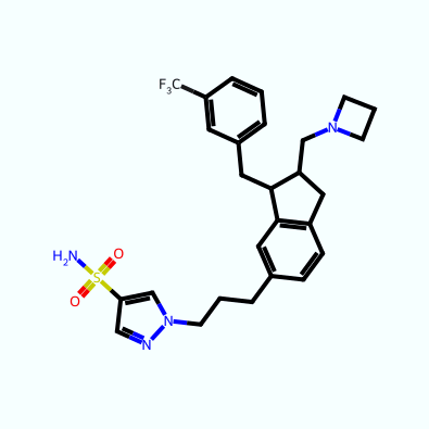 NS(=O)(=O)c1cnn(CCCc2ccc3c(c2)C(Cc2cccc(C(F)(F)F)c2)C(CN2CCC2)C3)c1